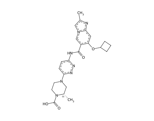 Cc1cn2cc(C(=O)Nc3ccc(N4CCN(C(=O)O)[C@@H](C)C4)nn3)c(OC3CCC3)cc2n1